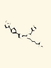 CNC(=O)CCCCC[C@H](NC(=O)c1cncs1)c1ncc(-c2ccc(-c3ccn(C)n3)cc2)o1